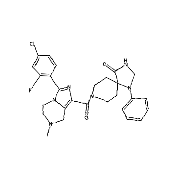 CN1CCn2c(-c3ccc(Cl)cc3F)nc(C(=O)N3CCC4(CC3)C(=O)NCN4c3ccccc3)c2C1